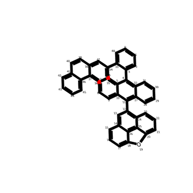 c1ccc(-c2c3ccccc3c(-c3cc4cccc5oc6cccc3c6c45)c3ccccc23)c(-c2ccc3c(ccc4ccccc43)c2)c1